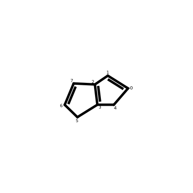 C1=CC2=C(C1)CC=C2